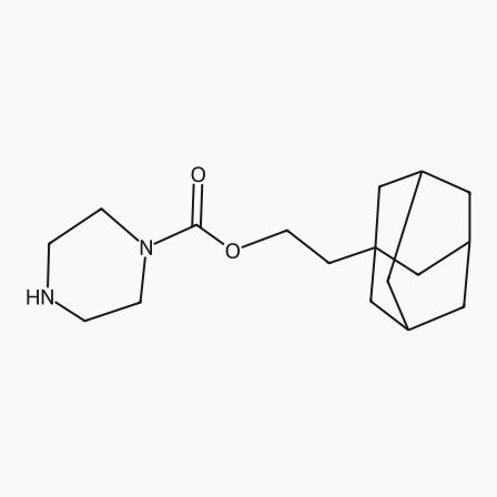 O=C(OCCC12CC3CC(CC(C3)C1)C2)N1CCNCC1